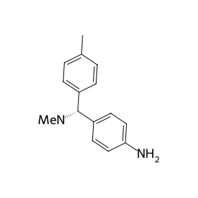 CN[C@H](c1ccc(C)cc1)c1ccc(N)cc1